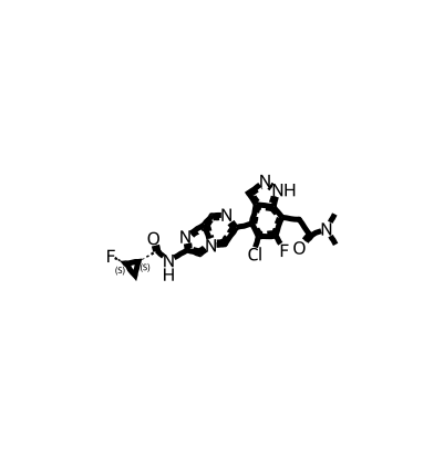 CN(C)C(=O)Cc1c(F)c(Cl)c(-c2cn3cc(NC(=O)[C@@H]4C[C@@H]4F)nc3cn2)c2cn[nH]c12